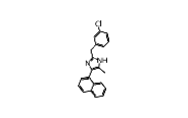 Cc1[nH]c(Cc2cccc(Cl)c2)nc1-c1cccc2ccccc12